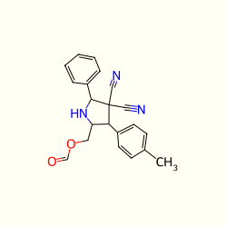 Cc1ccc(C2C(COC=O)NC(c3ccccc3)C2(C#N)C#N)cc1